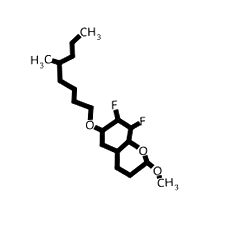 CCCC(C)CCCCOC1CC2CCC(OC)OC2C(F)C1F